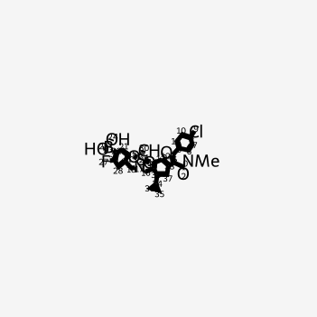 CNC(=O)c1c(-c2ccc(Cl)cc2)oc2cc(CN(Cc3ccc(B(O)O)c(F)c3)S(C)(=O)=O)c(C3CC3)cc12